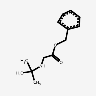 CC(C)(C)NCC(=O)OCc1ccccc1